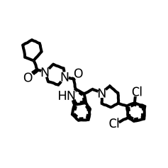 O=C(c1[nH]c2ccccc2c1CN1CCC(c2c(Cl)cccc2Cl)CC1)N1CCN(C(=O)C2CCCCC2)CC1